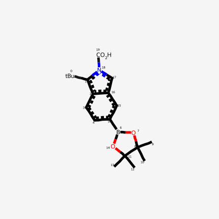 CC(C)(C)c1c2ccc(B3OC(C)(C)C(C)(C)O3)cc2cn1C(=O)O